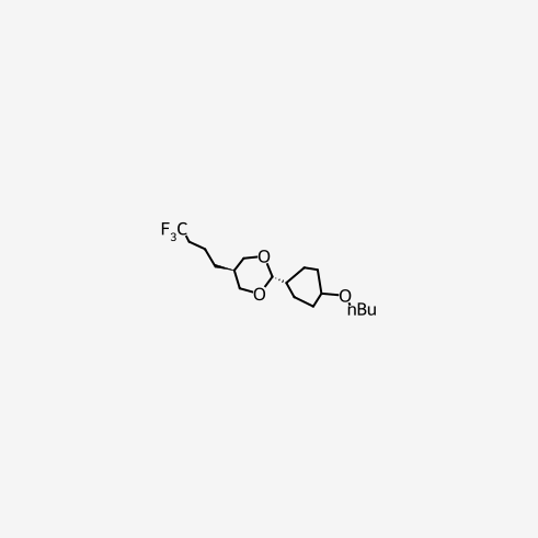 CCCCOC1CCC([C@H]2OC[C@H](CCCC(F)(F)F)CO2)CC1